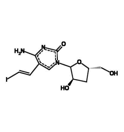 Nc1nc(=O)n(C2O[C@H](CO)C[C@H]2O)cc1C=CI